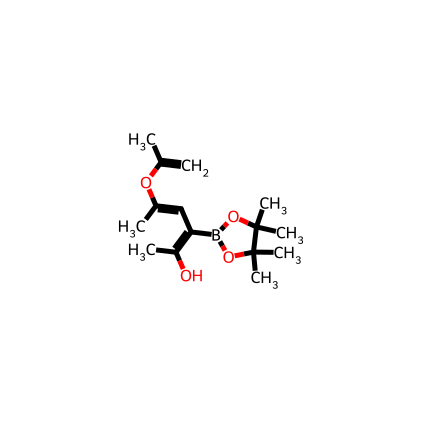 C=C(C)O/C(C)=C/C(B1OC(C)(C)C(C)(C)O1)=C(\C)O